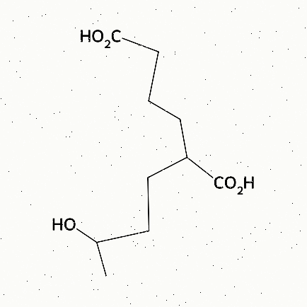 CC(O)CCC(CCCC(=O)O)C(=O)O